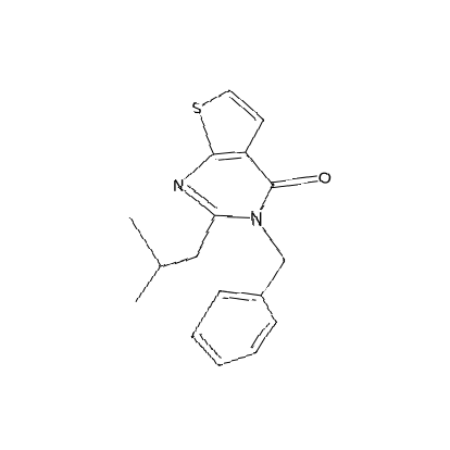 CC(C)Cc1nc2sccc2c(=O)n1Cc1ccccc1